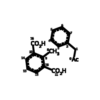 CC(=O)Cc1ccccc1.Cc1c(C(=O)O)cccc1C(=O)O